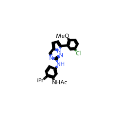 COc1ccc(Cl)cc1-c1ccc2cnc(Nc3ccc(C(C)C)c(NC(C)=O)c3)nn12